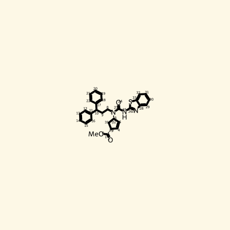 COC(=O)[C@H]1C=C[C@@H](N(CCC(c2ccccc2)c2ccccc2)C(=O)Nc2nc3ccccc3s2)C1